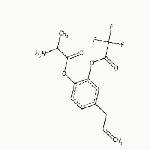 C=CCc1ccc(OC(=O)C(C)N)c(OC(=O)C(F)(F)F)c1